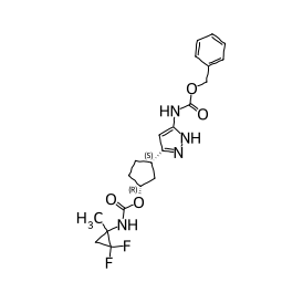 CC1(NC(=O)O[C@@H]2CC[C@H](c3cc(NC(=O)OCc4ccccc4)[nH]n3)C2)CC1(F)F